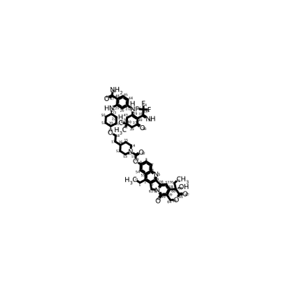 CCc1c2c(nc3ccc(OC(=O)N4CCC(CCO[C@H]5CC[C@H](Nc6cc(NC7=C(C(=N)C(F)(F)F)C(=O)CC(C)(C)C7)ccc6C(N)=O)CC5)CC4)cc13)-c1cc3c(c(=O)n1C2)COC(=O)[C@]3(O)CC